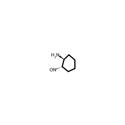 N[C@H]1CCCC[C@@H]1N=O